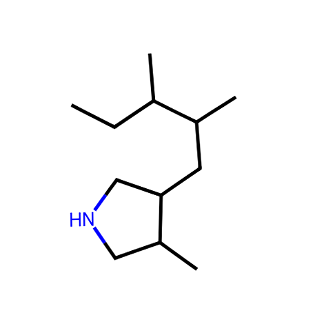 CCC(C)C(C)CC1CNCC1C